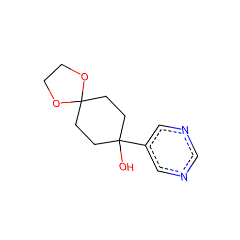 OC1(c2cncnc2)CCC2(CC1)OCCO2